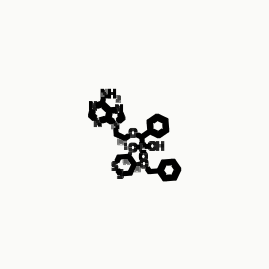 C[C@H](Cn1cnc2c(N)ncnc21)OC(c1ccccc1)P(=O)(O)O[C@H]1CSSC[C@@H]1OCc1ccccc1